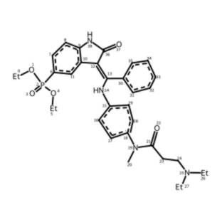 CCOP(=O)(OCC)c1ccc2c(c1)C(=C(Nc1ccc(N(C)C(=O)CCN(CC)CC)cc1)c1ccccc1)C(=O)N2